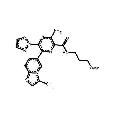 COCCCNC(=O)c1nc(-c2ccc3ncc(C)n3c2)c(-n2nccn2)nc1N